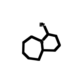 CC(C)C1CCCC2CCCCCN21